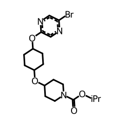 CC(C)OC(=O)N1CCC(OC2CCC(Oc3cnc(Br)cn3)CC2)CC1